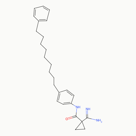 N=C(N)C1(C(=O)Nc2ccc(CCCCCCCCCc3ccccc3)cc2)CC1